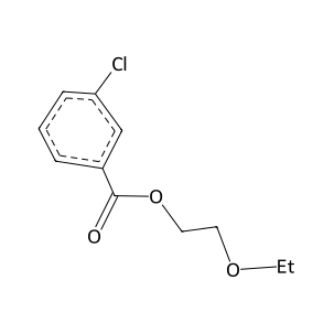 CCOCCOC(=O)c1cccc(Cl)c1